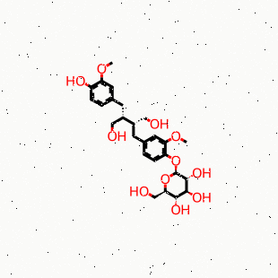 COc1cc(C[C@@H](CO)[C@H](CO)Cc2ccc(O[C@@H]3O[C@H](CO)[C@@H](O)[C@H](O)[C@H]3O)c(OC)c2)ccc1O